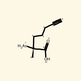 C#CCCC[C@@](C)([AsH2])C(=O)O